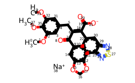 COc1cc(CC(C(=O)c2ccc3c(c2)OCO3)=C(C(=O)[O-])c2ccc3nsnc3c2)cc(OC)c1OC.[Na+]